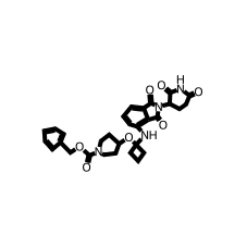 O=C1CCC(N2C(=O)c3cccc(NC4(OC5CCN(C(=O)OCc6ccccc6)CC5)CCC4)c3C2=O)C(=O)N1